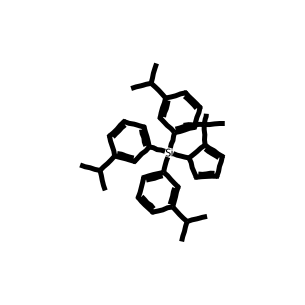 CC(C)c1cccc([Si]([C]2C=CC=C2C(C)(C)C)(c2cccc(C(C)C)c2)c2cccc(C(C)C)c2)c1